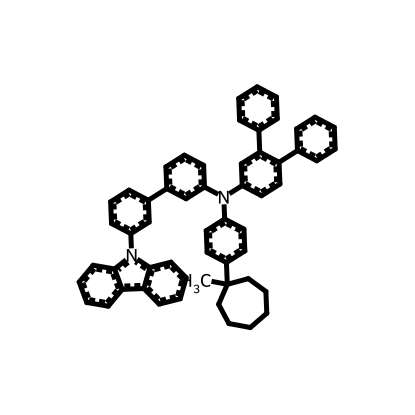 CC1(c2ccc(N(c3cccc(-c4cccc(-n5c6ccccc6c6ccccc65)c4)c3)c3ccc(-c4ccccc4)c(-c4ccccc4)c3)cc2)CCCCCC1